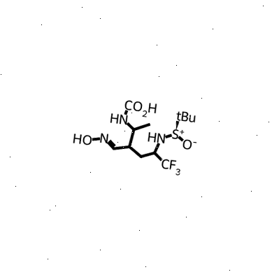 CC(NC(=O)O)C(/C=N/O)CC(N[S@+]([O-])C(C)(C)C)C(F)(F)F